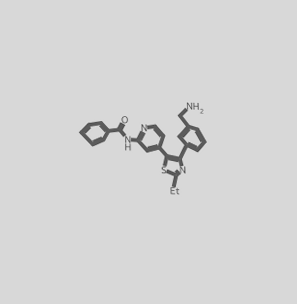 CCc1nc(-c2cccc(CN)c2)c(-c2ccnc(NC(=O)c3ccccc3)c2)s1